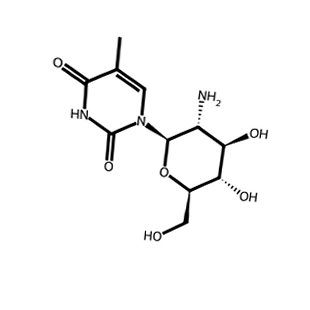 Cc1cn([C@@H]2O[C@H](CO)[C@@H](O)[C@H](O)[C@H]2N)c(=O)[nH]c1=O